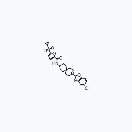 O=C(NC1CCC2(CC1)CCN(c1nc3cc(Cl)ccc3o1)CC2)c1ccc(S(=O)(=O)C2CC2)o1